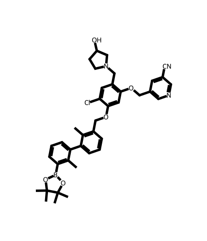 Cc1c(COc2cc(OCc3cncc(C#N)c3)c(CN3CCC(O)C3)cc2Cl)cccc1-c1cccc(B2OC(C)(C)C(C)(C)O2)c1C